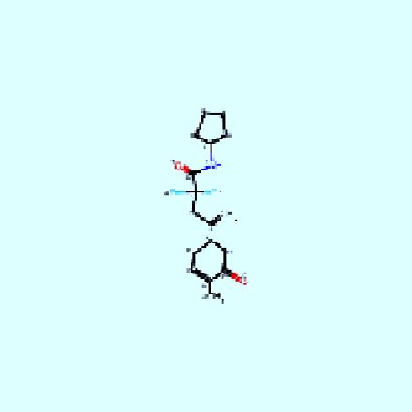 C=C(CC(F)(F)C(=O)NC1CCCC1)[C@H]1CC=C(C)C(=O)C1